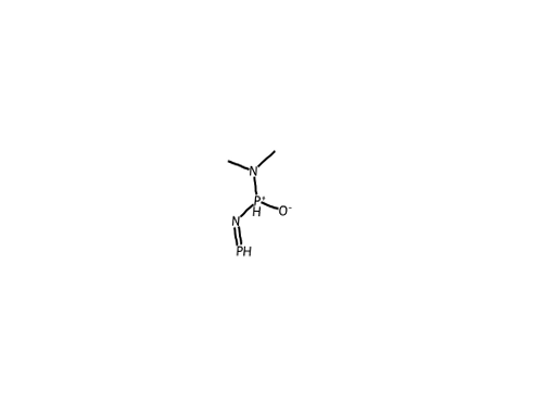 CN(C)[PH+]([O-])N=P